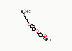 CCCCCCCCCCCCCCCCCCOc1ccc2cc(OCc3ccc(C(=O)C[C@H](C)CC)cc3)ccc2c1